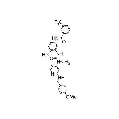 COc1ccc(CNc2cc(N(C)C(=O)Nc3cc(NC(=O)c4cccc(C(F)(F)F)c4)ccc3C)ncn2)cc1